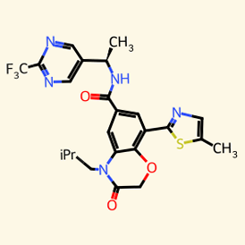 Cc1cnc(-c2cc(C(=O)N[C@H](C)c3cnc(C(F)(F)F)nc3)cc3c2OCC(=O)N3CC(C)C)s1